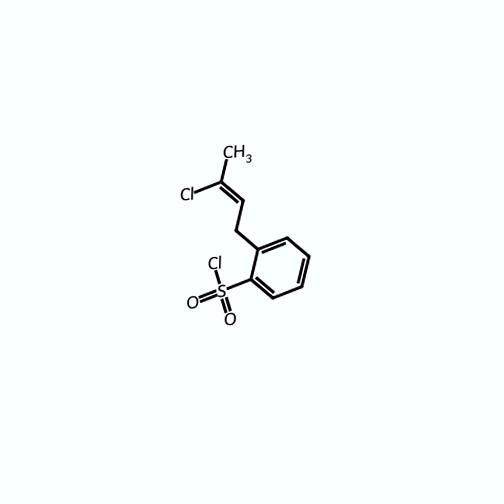 C/C(Cl)=C/Cc1ccccc1S(=O)(=O)Cl